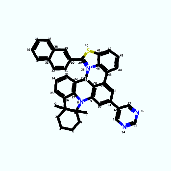 CC12CCCCC1(C)N1c3cc(-c4cncnc4)cc4c3B(c3cccc2c31)[n+]1c(-c2ccc3ccccc3c2)sc2cccc-4c21